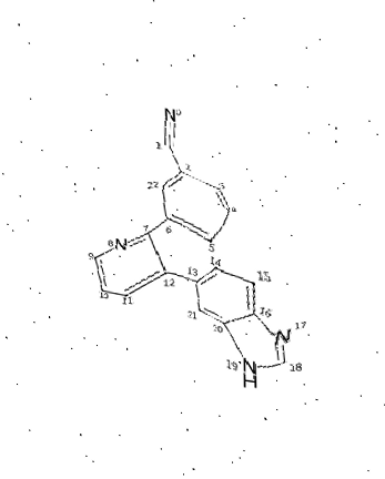 N#Cc1cccc(-c2ncccc2-c2ccc3nc[nH]c3c2)c1